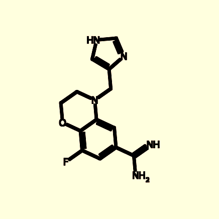 N=C(N)c1cc(F)c2c(c1)N(Cc1c[nH]cn1)CCO2